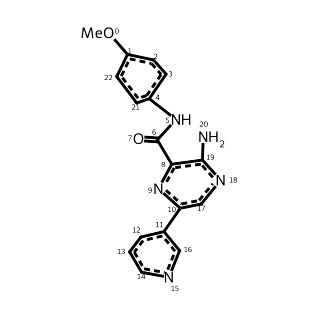 COc1ccc(NC(=O)c2nc(-c3cccnc3)cnc2N)cc1